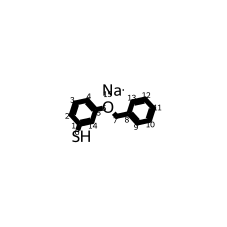 Sc1cccc(OCc2ccccc2)c1.[Na]